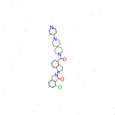 O=C(c1cccc2c1CC[C@H]2N1Cc2cccc(Cl)c2C1=O)N1CCC2(CC1)CCN(c1ccncc1)CC2